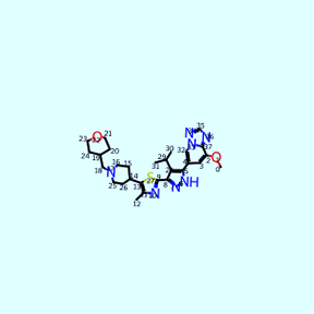 COc1cc(-c2[nH]nc(-c3nc(C)c(C4CCN(CC5CCOCC5)CC4)s3)c2C(C)C)cn2ncnc12